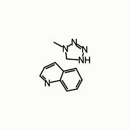 CN1CNN=N1.c1ccc2ncccc2c1